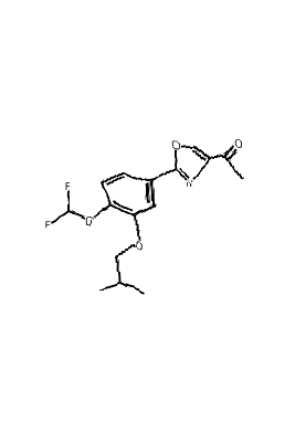 CC(=O)c1coc(-c2ccc(OC(F)F)c(OCC(C)C)c2)n1